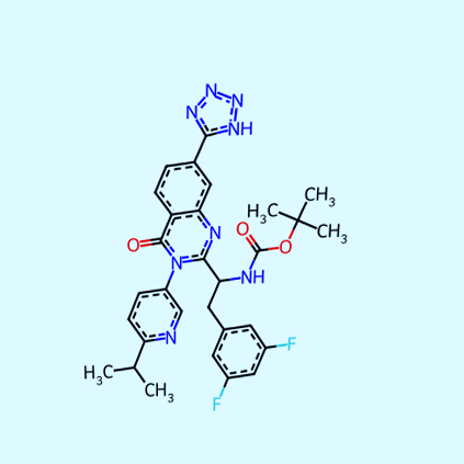 CC(C)c1ccc(-n2c(C(Cc3cc(F)cc(F)c3)NC(=O)OC(C)(C)C)nc3cc(-c4nnn[nH]4)ccc3c2=O)cn1